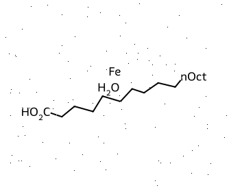 CCCCCCCCCCCCCCCCCC(=O)O.O.[Fe]